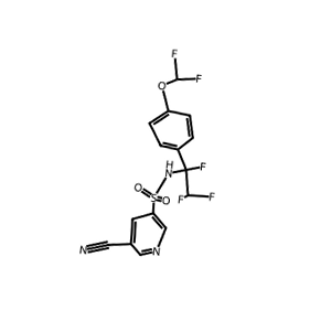 N#Cc1cncc(S(=O)(=O)NC(F)(c2ccc(OC(F)F)cc2)C(F)F)c1